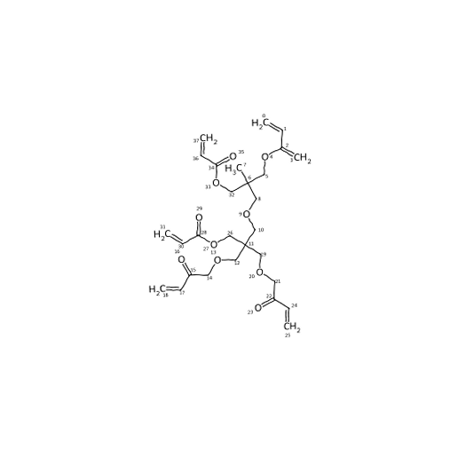 C=CC(=C)OCC(C)(COCC(COCC(=O)C=C)(COCC(=O)C=C)COC(=O)C=C)COC(=O)C=C